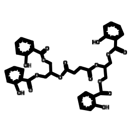 O=C(CCC(=O)OC(COC(=O)c1ccccc1O)COC(=O)c1ccccc1O)OC(COC(=O)c1ccccc1O)COC(=O)c1ccccc1O